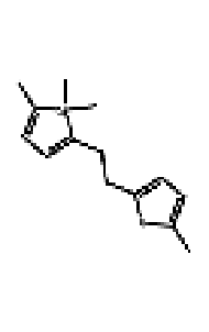 CC1=CC=C(CCc2ccc(C)s2)[Si]1(C)C